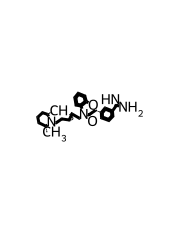 C[C@@H]1CCC[C@H](C)N1CCCCCN1C(=O)[C@@H](c2cccc(C(=N)N)c2)Oc2ccccc21